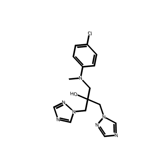 CN(CC(O)(Cn1cncn1)Cn1cncn1)c1ccc(Cl)cc1